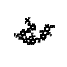 CC(F)(F)COc1ncncc1CNc1ncc(C(F)(F)F)c(NC2C[C@H](O)C2(C)CCC(C)(F)c2ncncc2CNc2ncc(C(F)(F)F)c(N[C@@H]3CC[C@H](O)C(C)(C)C3)n2)n1